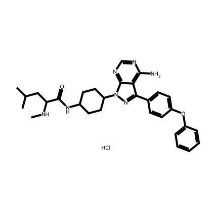 CNC(CC(C)C)C(=O)NC1CCC(n2nc(-c3ccc(Oc4ccccc4)cc3)c3c(N)ncnc32)CC1.Cl